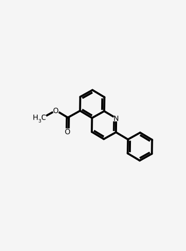 COC(=O)c1cccc2nc(-c3ccccc3)ccc12